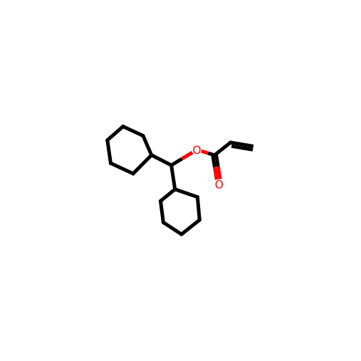 C=CC(=O)OC(C1CCCCC1)C1CCCCC1